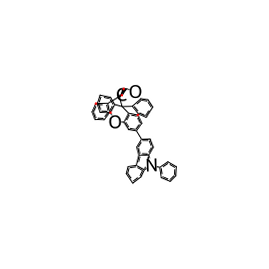 c1ccc(-c2cccc3c2C2(c4ccccc4Oc4cc(-c5ccc6c(c5)c5ccccc5n6-c5ccccc5)ccc42)c2ccccc2O3)cc1